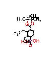 CCc1c(B2OC(C)(C)C(C)(C)O2)ccc(P(=O)(O)O)c1CC